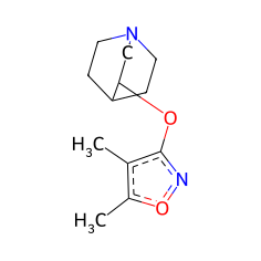 Cc1onc(OC2CN3CCC2CC3)c1C